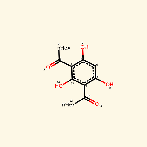 CCCCCCC(=O)c1c(O)cc(O)c(C(=O)CCCCCC)c1O